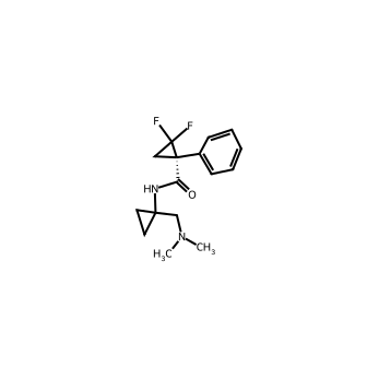 CN(C)CC1(NC(=O)[C@]2(c3ccccc3)CC2(F)F)CC1